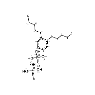 CCCCCc1ccccc1CCCCC.OP(O)(O)=S.OP(O)(O)=S